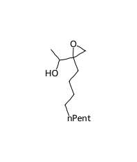 CCCCCCCCCC1(C(C)O)CO1